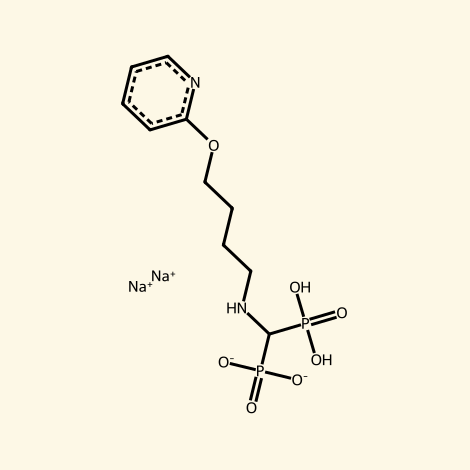 O=P([O-])([O-])C(NCCCCOc1ccccn1)P(=O)(O)O.[Na+].[Na+]